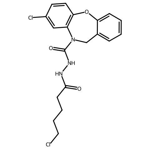 O=C(CCCCCl)NNC(=O)N1Cc2ccccc2Oc2ccc(Cl)cc21